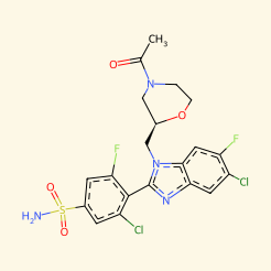 CC(=O)N1CCO[C@@H](Cn2c(-c3c(F)cc(S(N)(=O)=O)cc3Cl)nc3cc(Cl)c(F)cc32)C1